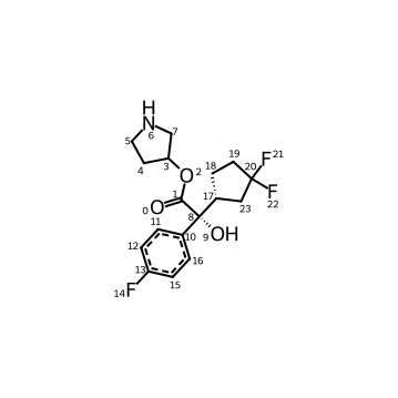 O=C(OC1CCNC1)[C@](O)(c1ccc(F)cc1)[C@@H]1CCC(F)(F)C1